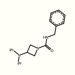 CC(C)N(C(C)C)C1CN(C(=O)NCc2ccccc2)C1